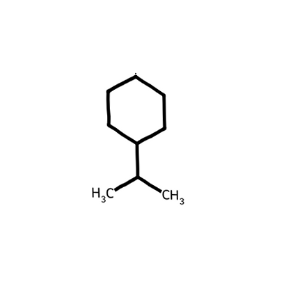 CC(C)C1CC[CH]CC1